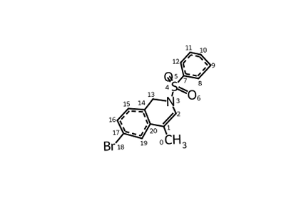 CC1=CN(S(=O)(=O)c2ccccc2)Cc2ccc(Br)cc21